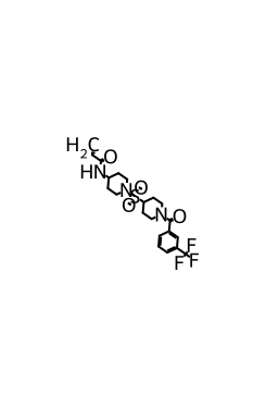 C=CC(=O)NC1CCN(S(=O)(=O)C2CCN(C(=O)c3cccc(C(F)(F)F)c3)CC2)CC1